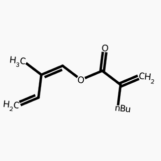 C=CC(C)=COC(=O)C(=C)CCCC